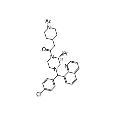 CC(=O)N1CCC(CC(=O)N2CCN(C(c3ccc(Cl)cc3)c3cccc4cccnc34)C[C@@H]2C(C)C)CC1